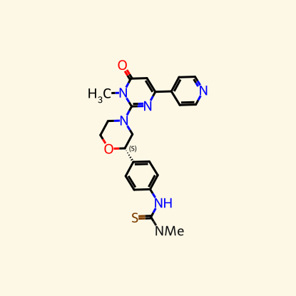 CNC(=S)Nc1ccc([C@H]2CN(c3nc(-c4ccncc4)cc(=O)n3C)CCO2)cc1